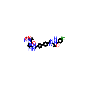 COC(=O)N[C@H](C(=O)N1CCC[C@H]1c1nc(-c2ccc(-c3ccc(-c4c[nH]c([C@@H](NC(=O)C5CCC(F)(F)CC5)C(C)C)n4)cc3)cc2)c[nH]1)C(C)C